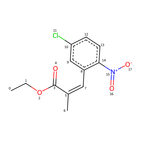 CCOC(=O)C(C)=Cc1cc(Cl)ccc1[N+](=O)[O-]